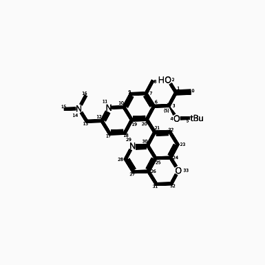 C=C(O)[C@@H](OC(C)(C)C)c1c(C)cc2nc(CN(C)C)ccc2c1-c1ccc2c3c(ccnc13)CCO2